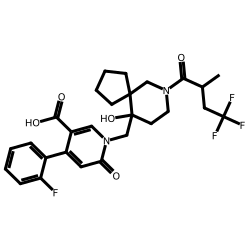 CC(CC(F)(F)F)C(=O)N1CCC(O)(Cn2cc(C(=O)O)c(-c3ccccc3F)cc2=O)C2(CCCC2)C1